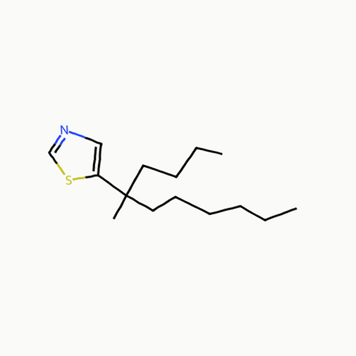 CCCCCCC(C)(CCCC)c1cncs1